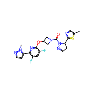 Cc1cnc(C2CC=NN2C(=O)N2CC(Oc3nc(-c4ccnn4C)c(F)cc3F)C2)s1